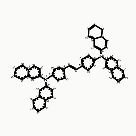 C1=CCC2C=CC(N(c3ccc(/C=C/c4ccc(N(c5ccc6ccccc6c5)c5ccc6ccccc6c5)cc4)cc3)c3ccc4ccccc4c3)=CC2=C1